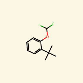 CC(C)(C)c1ccccc1OC(F)F